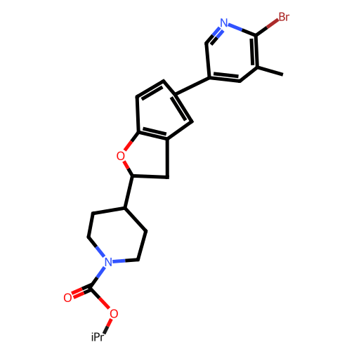 Cc1cc(-c2ccc3c(c2)CC(C2CCN(C(=O)OC(C)C)CC2)O3)cnc1Br